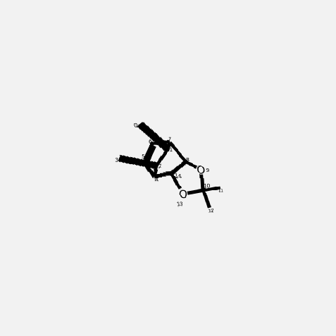 C=C1C(=C)C2C=CC1C1OC(C)(C)OC21